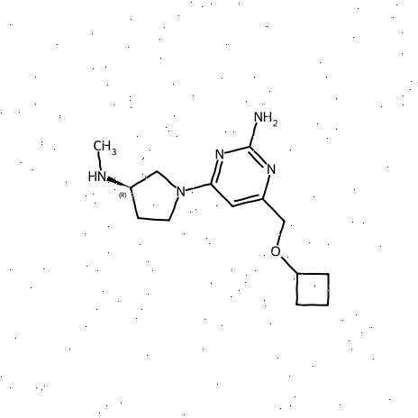 CN[C@@H]1CCN(c2cc(COC3CCC3)nc(N)n2)C1